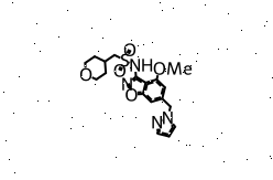 COc1cc(Cn2cccn2)cc2onc(NS(=O)(=O)CC3CCOCC3)c12